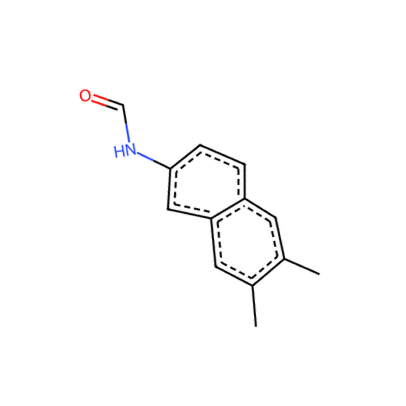 Cc1cc2ccc(NC=O)cc2cc1C